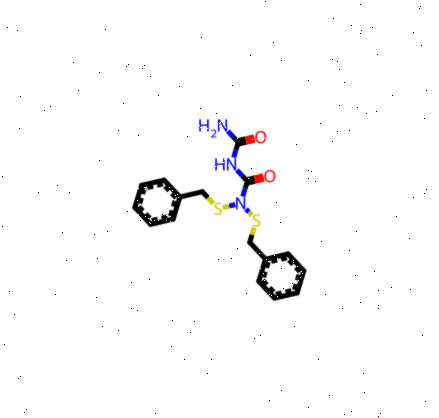 NC(=O)NC(=O)N(SCc1ccccc1)SCc1ccccc1